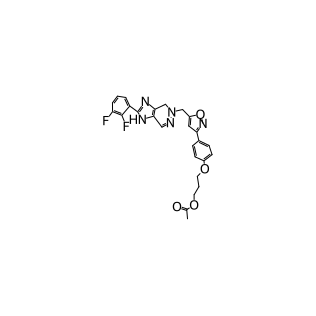 CC(=O)OCCCOc1ccc(-c2cc(CN3Cc4nc(-c5cccc(F)c5F)[nH]c4C=N3)on2)cc1